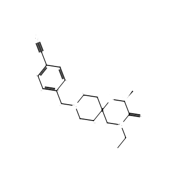 CCN1CC2(CCN(Cc3ccc(C#N)cc3)CC2)O[C@@H](C)C1=O